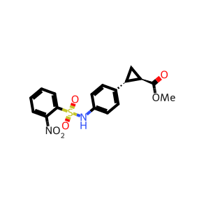 COC(=O)[C@@H]1C[C@H]1c1ccc(NS(=O)(=O)c2ccccc2[N+](=O)[O-])cc1